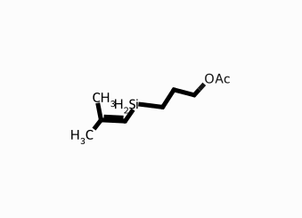 CC(=O)OCCC[SiH2]C=C(C)C